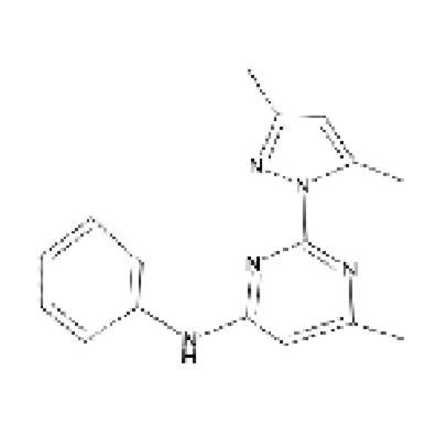 Cc1cc(Nc2ccccc2)nc(-n2nc(C)cc2C)n1